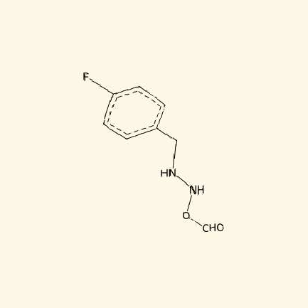 O=CONNCc1ccc(F)cc1